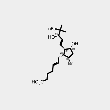 CCCCC(C)(C)[C@H](O)C=C[C@@H]1[C@@H](CC=CCCCC(=O)O)[C@H](Br)C[C@H]1O